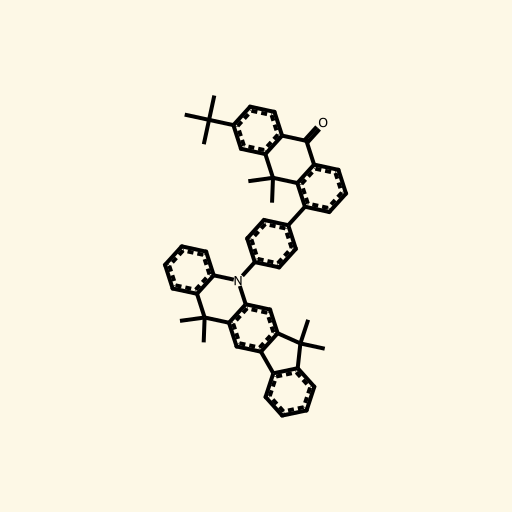 CC(C)(C)c1ccc2c(c1)C(C)(C)c1c(cccc1-c1ccc(N3c4ccccc4C(C)(C)c4cc5c(cc43)C(C)(C)c3ccccc3-5)cc1)C2=O